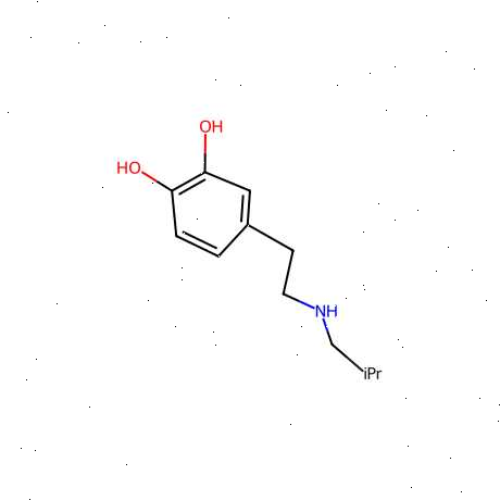 CC(C)CNCCc1ccc(O)c(O)c1